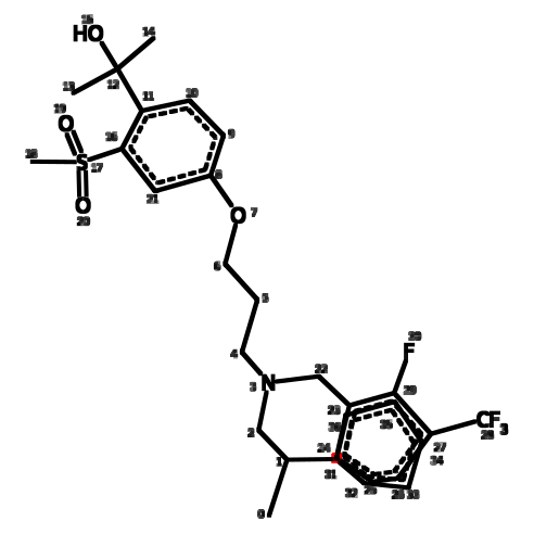 CC(CN(CCCOc1ccc(C(C)(C)O)c(S(C)(=O)=O)c1)Cc1cccc(C(F)(F)F)c1F)c1ccccc1